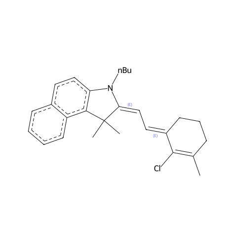 CCCCN1/C(=C/C=C2\CCCC(C)=C2Cl)C(C)(C)c2c1ccc1ccccc21